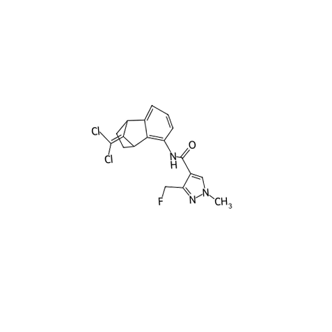 Cn1cc(C(=O)Nc2cccc3c2C2CCC3C2=C(Cl)Cl)c(CF)n1